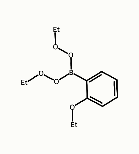 CCOOB(OOCC)c1ccccc1OCC